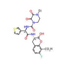 CCN1CCN(C(=O)N[C@@H](C(=O)N[C@H]2Cc3ccc(F)c(C(=O)O)c3OB2O)c2ccsc2)C(=O)C1=O